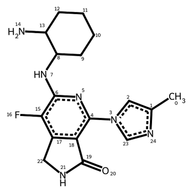 Cc1cn(-c2nc(NC3CCCCC3N)c(F)c3c2C(=O)NC3)cn1